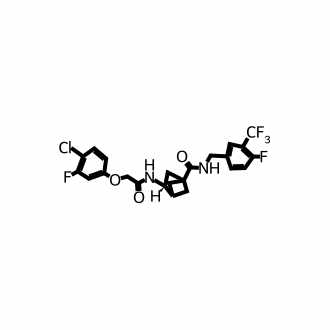 O=C(COc1ccc(Cl)c(F)c1)N[C@H]1CC2(C(=O)NCc3ccc(F)c(C(F)(F)F)c3)CC1C2